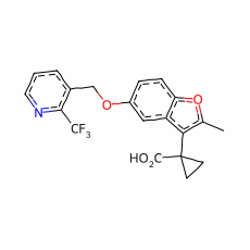 Cc1oc2ccc(OCc3cccnc3C(F)(F)F)cc2c1C1(C(=O)O)CC1